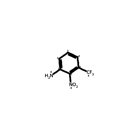 Nc1cccc(C(F)(F)F)c1[N+](=O)[O-]